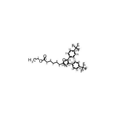 CCOC(=O)CCCCCc1nc(-c2ccc(C(F)(F)F)cc2)c(-c2ccc(C(F)(F)F)cc2)o1